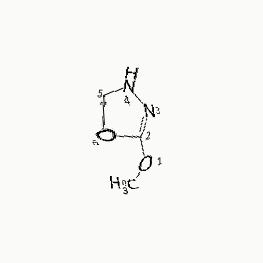 COC1=NN[C]O1